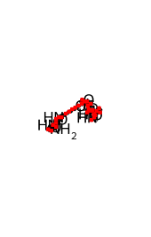 CN[C@@H](C)C(=O)N[C@H](C(=O)N1CCC[C@H]1c1nc(C(=O)c2cccc(OCCCCCCCCCCCC(=O)Nc3ccc(C(=O)Nc4ccccc4N)cc3)c2)cs1)C1CCCCC1